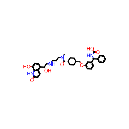 CN(CCCNC[C@H](O)c1ccc(O)c2[nH]c(=O)ccc12)C(=O)[C@H]1CC[C@H](COc2cccc([C@@H](NC(=O)O)c3ccccc3)c2)CC1